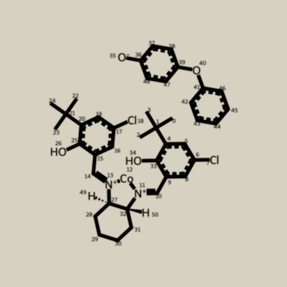 CC(C)(C)c1cc(Cl)cc(C=[N+]2[Co][N+](=Cc3cc(Cl)cc(C(C)(C)C)c3O)[C@@H]3CCCC[C@H]32)c1O.[O-]c1ccc(Oc2ccccc2)cc1